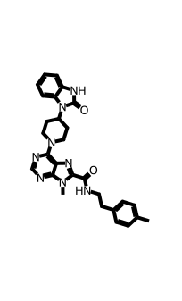 Cc1ccc(CCNC(=O)c2nc3c(N4CCC(n5c(=O)[nH]c6ccccc65)CC4)ncnc3n2C)cc1